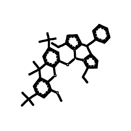 CCc1ccc2n1P(Oc1cc(C(C)(C)C)cc3c1Oc1c(OC)cc(C(C)(C)C)cc1C3(C)C)n1c(CC)ccc1C2c1ccccc1